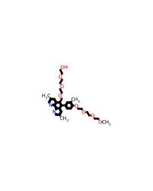 COCCOCCOCCOc1ccc(-c2c(COCCOCCOCCO)c3cc(C)cnc3c3ncc(C)cc23)cc1C